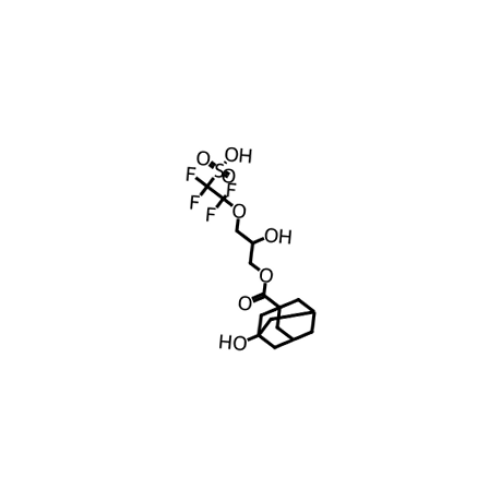 O=C(OCC(O)COC(F)(F)C(F)(F)S(=O)(=O)O)C12CC3CC(CC(O)(C3)C1)C2